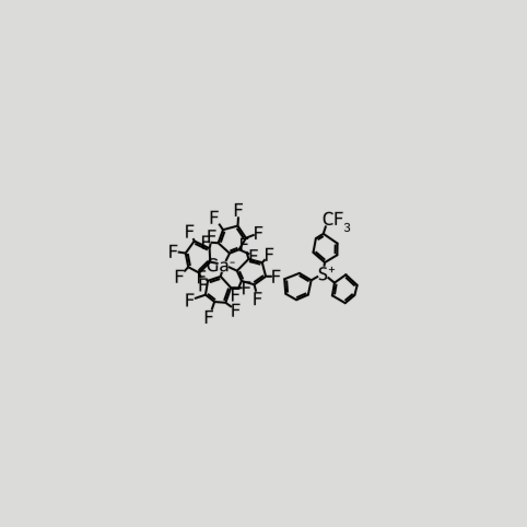 FC(F)(F)c1ccc([S+](c2ccccc2)c2ccccc2)cc1.Fc1c(F)c(F)[c]([Ga-]([c]2c(F)c(F)c(F)c(F)c2F)([c]2c(F)c(F)c(F)c(F)c2F)[c]2c(F)c(F)c(F)c(F)c2F)c(F)c1F